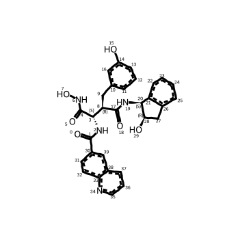 O=C(N[C@H](C(=O)NO)[C@@H](Cc1cccc(O)c1)C(=O)N[C@H]1c2ccccc2C[C@H]1O)c1ccc2ncccc2c1